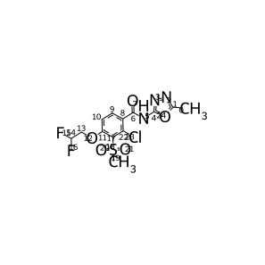 Cc1nnc(NC(=O)c2ccc(OCC(F)F)c(S(C)(=O)=O)c2Cl)o1